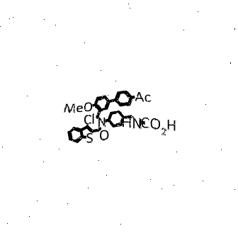 COc1ccc(-c2ccc(C(C)=O)cc2)cc1CN(C(=O)c1sc2ccccc2c1Cl)C1CCC(CNC(=O)O)CC1